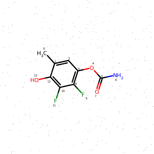 Cc1cc(OC(N)=O)c(F)c(F)c1O